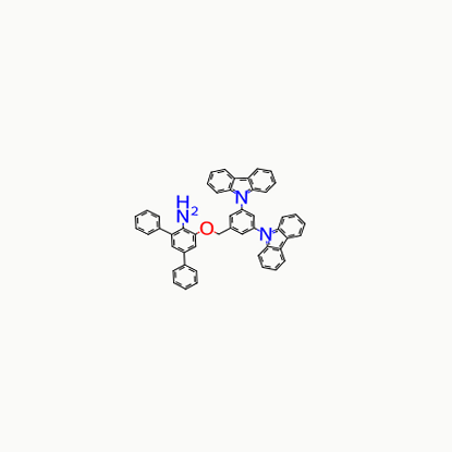 Nc1c(OCc2cc(-n3c4ccccc4c4ccccc43)cc(-n3c4ccccc4c4ccccc43)c2)cc(-c2ccccc2)cc1-c1ccccc1